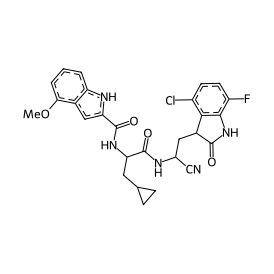 COc1cccc2[nH]c(C(=O)NC(CC3CC3)C(=O)NC(C#N)CC3C(=O)Nc4c(F)ccc(Cl)c43)cc12